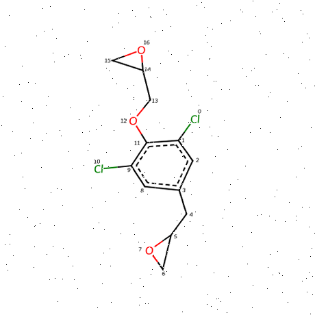 Clc1cc(CC2CO2)cc(Cl)c1OCC1CO1